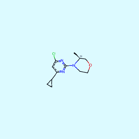 C[C@H]1COCCN1c1nc(Cl)cc(C2CC2)n1